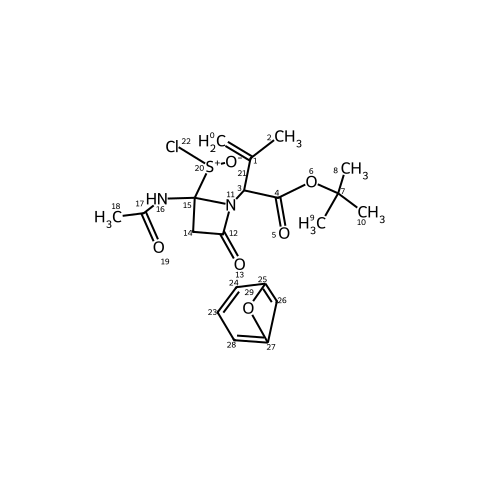 C=C(C)C(C(=O)OC(C)(C)C)N1C(=O)CC1(NC(C)=O)[S+]([O-])Cl.c1cc2cc(c1)O2